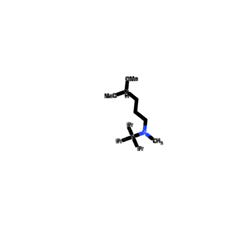 CO[SiH](CCCN(C)[Si](C(C)C)(C(C)C)C(C)C)OC